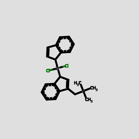 C[Si](C)(C)CC1=C[CH]([Zr]([Cl])([Cl])[CH]2C=Cc3ccccc32)c2ccccc21